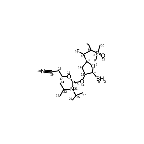 B[C@@H]1O[C@H](C(F)C(C)P(C)(C)=O)C[C@@H]1OP(OCCC#N)N(C(C)C)C(C)C